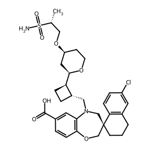 C[C@H](CO[C@H]1CCO[C@@H]([C@@H]2CC[C@H]2CN2C[C@@]3(CCCc4cc(Cl)ccc43)COc3ccc(C(=O)O)cc32)C1)S(N)(=O)=O